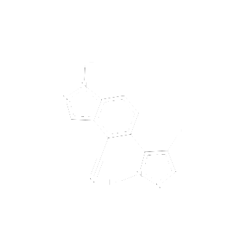 Cn1ncc(Br)c1-c1ccc2c(cnn2C)c1C#N